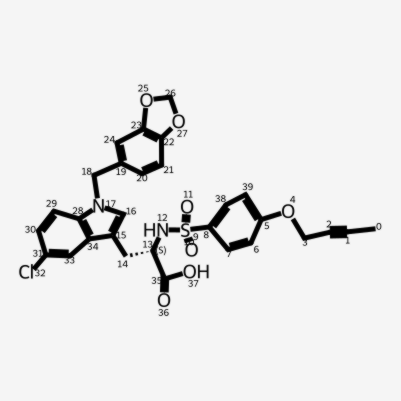 CC#CCOc1ccc(S(=O)(=O)N[C@@H](Cc2cn(Cc3ccc4c(c3)OCO4)c3ccc(Cl)cc23)C(=O)O)cc1